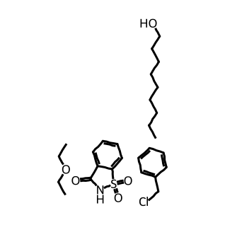 CCCCCCCCCO.CCOCC.ClCc1ccccc1.O=C1NS(=O)(=O)c2ccccc21